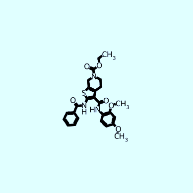 CCOC(=O)N1CCc2c(sc(NC(=O)c3ccccc3)c2C(=O)Nc2ccc(OC)cc2OC)C1